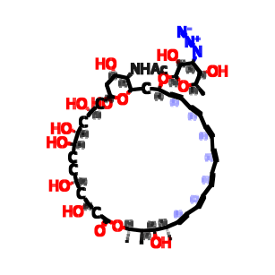 CC(=O)N[C@H]1C2C[C@@H](O[C@@H]3O[C@H](C)[C@@H](O)[C@H](N=[N+]=[N-])[C@@H]3O)/C=C/C=C/C=C/C=C/C=C/C=C/C=C/[C@H](C)[C@@H](O)[C@@H](C)[C@H](C)OC(=O)C[C@H](O)C[C@H](O)CC[C@@H](O)[C@H](O)C[C@H](O)C[C@](O)(C[C@@H]1O)O2